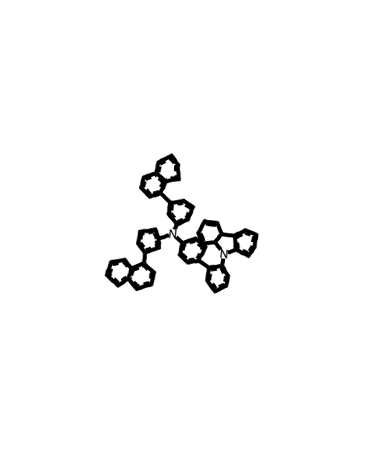 C1=CC2c3ccccc3N(c3ccccc3-c3ccc(N(c4cccc(-c5cccc6ccccc56)c4)c4cccc(-c5cccc6ccccc56)c4)cc3)C2C=C1